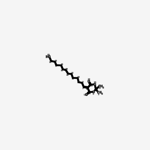 CC1(C)OC(=O)C(=CCCCCCCCCCCCCO)C(=O)O1